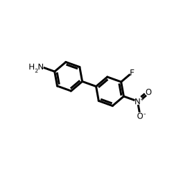 Nc1ccc(-c2ccc([N+](=O)[O-])c(F)c2)cc1